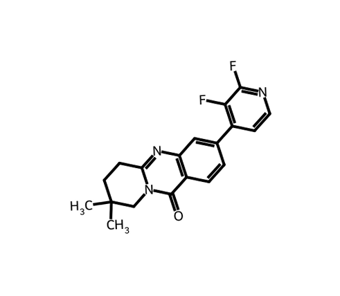 CC1(C)CCc2nc3cc(-c4ccnc(F)c4F)ccc3c(=O)n2C1